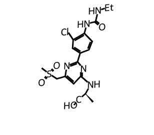 CCNC(=O)Nc1ccc(-c2nc(CS(C)(=O)=O)cc(N[C@@H](C)CO)n2)cc1Cl